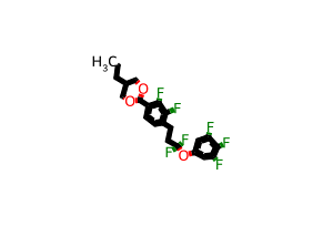 CCCC1COC(c2ccc(CCC(F)(F)Oc3cc(F)c(F)c(F)c3)c(F)c2F)OC1